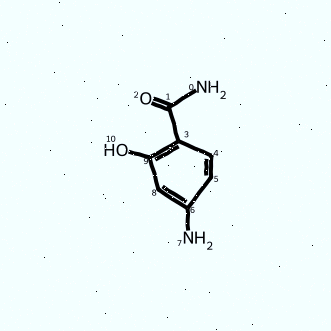 NC(=O)c1ccc(N)cc1O